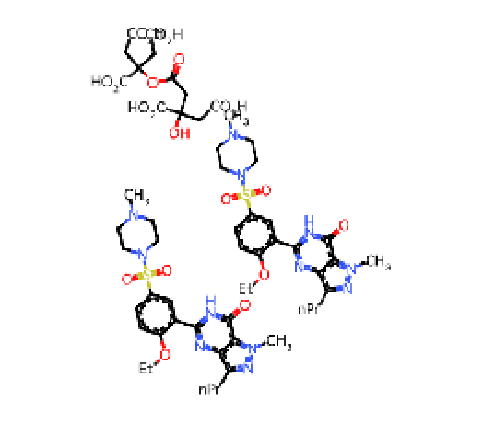 CCCc1nn(C)c2c(=O)[nH]c(-c3cc(S(=O)(=O)N4CCN(C)CC4)ccc3OCC)nc12.CCCc1nn(C)c2c(=O)[nH]c(-c3cc(S(=O)(=O)N4CCN(C)CC4)ccc3OCC)nc12.O=C(O)CC(O)(CC(=O)OC(CC(=O)O)(CC(=O)O)C(=O)O)C(=O)O